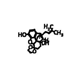 CC(C)=CCN1CC[C@]23c4c5ccc(O)c4OC2C2(CCC3(O)[C@H]1C5)OCCO2